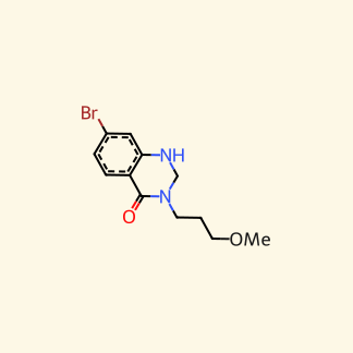 COCCCN1CNc2cc(Br)ccc2C1=O